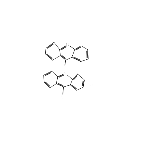 [Be+2].[O-]c1c2ccccc2nc2ccccc12.[O-]c1c2ccccc2nc2ccccc12